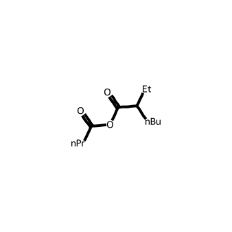 CCCCC(CC)C(=O)OC(=O)CCC